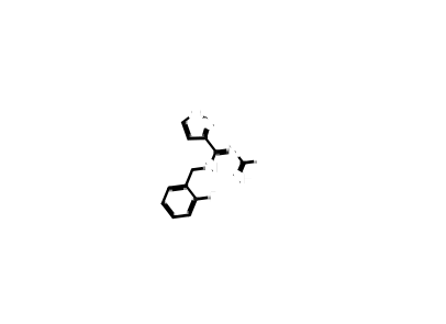 CC(=N)/N=C(\NCc1ccccc1F)c1ccon1